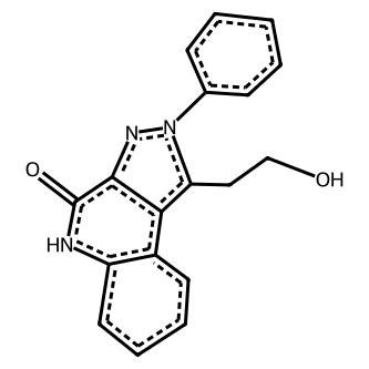 O=c1[nH]c2ccccc2c2c(CCO)n(-c3ccccc3)nc12